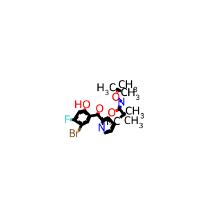 CC(C)(C)O/N=C(\Oc1cccnc1C(=O)c1cc(Br)c(F)cc1O)C(C)(C)C